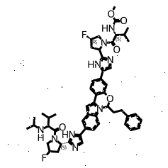 COC(=O)N[C@H](C(=O)N1C[C@H](F)CC1c1ncc(-c2ccc3c(c2)OC(CCc2ccccc2)n2c-3cc3cc(-c4cnc([C@@H]5CC(F)CN5C(=O)C(NC(C)C)C(C)C)[nH]4)ccc32)[nH]1)C(C)C